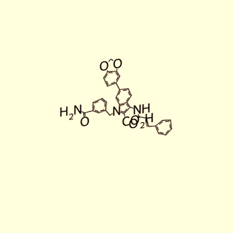 NC(=O)c1cccc(Cn2c(C(=O)O)c(NC(=O)C=Cc3ccccc3)c3ccc(-c4ccc5c(c4)OCO5)cc32)c1